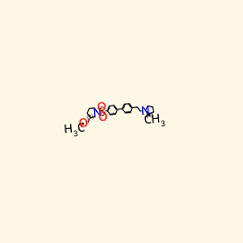 COC[C@H]1CCCN(S(=O)(=O)c2ccc(-c3ccc(CCN4CCC[C@H]4C)cc3)cc2)C1